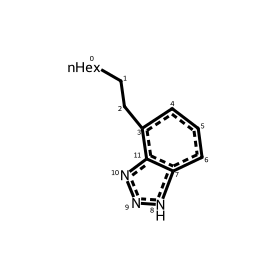 CCCCCCCCc1cccc2[nH]nnc12